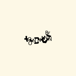 CC(C)(C)OC(=O)N1CCN(c2ccc3ncc(Br)n3n2)CC1